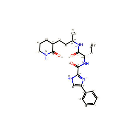 CC(C)C[C@H](NC(=O)c1nc(-c2ccccc2)c[nH]1)C(=O)N[C@H](C#N)CCC1CCCNC1=O